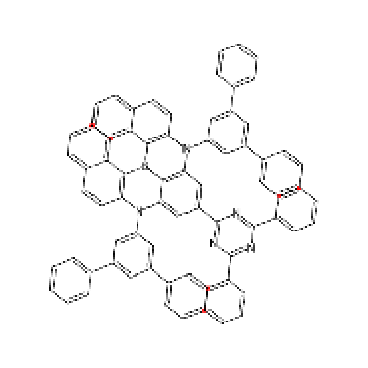 c1ccc(-c2cc(-c3ccccc3)cc(N3c4cc(-c5nc(-c6ccccc6)nc(-c6ccccc6)n5)cc5c4B(c4c3ccc3ccccc43)c3c(ccc4ccccc34)N5c3cc(-c4ccccc4)cc(-c4ccccc4)c3)c2)cc1